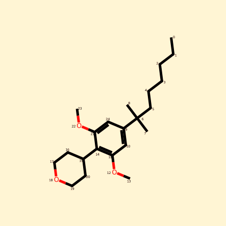 CCCCCCC(C)(C)c1cc(OC)c(C2CCOCC2)c(OC)c1